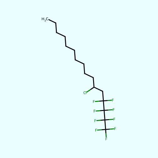 CCCCCCCCCCC(Cl)CC(F)(F)C(F)(F)C(F)(F)C(F)(F)F